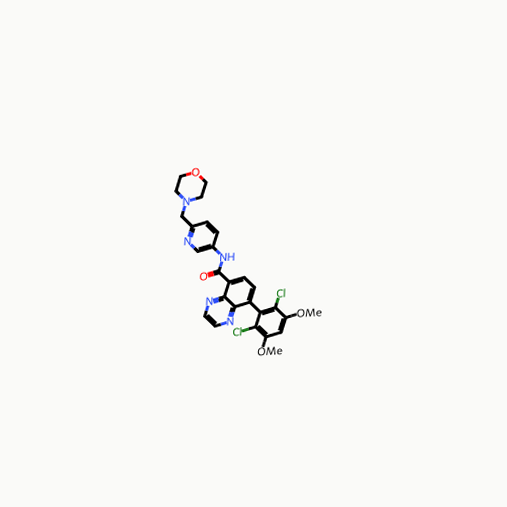 COc1cc(OC)c(Cl)c(-c2ccc(C(=O)Nc3ccc(CN4CCOCC4)nc3)c3nccnc23)c1Cl